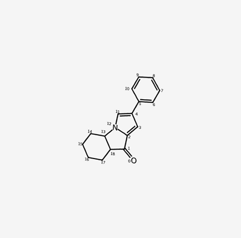 O=C1c2cc(-c3ccccc3)cn2C2CCCCC12